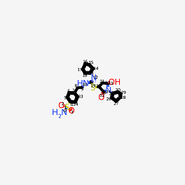 NS(=O)(=O)c1ccc(CCN/C(=N\c2ccccc2)SC2CC(O)N(c3ccccc3)C2=O)cc1